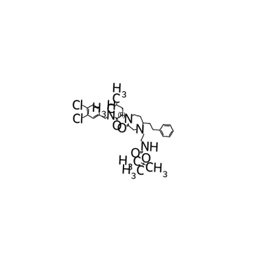 CC(C)C[C@H](C(=O)NCc1ccc(Cl)c(Cl)c1)N1CCC(CCc2ccccc2)N(CCNC(=O)OC(C)(C)C)CC1=O